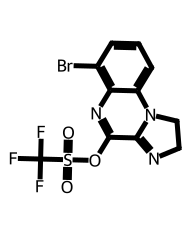 O=S(=O)(OC1=Nc2c(Br)cccc2N2CCN=C12)C(F)(F)F